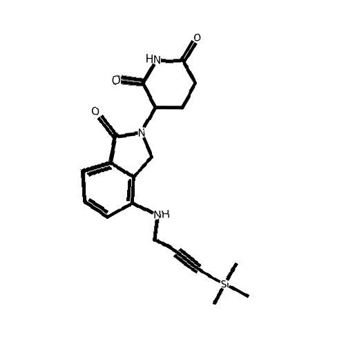 C[Si](C)(C)C#CCNc1cccc2c1CN(C1CCC(=O)NC1=O)C2=O